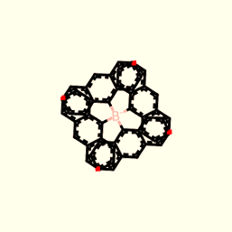 c1ccc2c([B-](c3c4ccccc4cc4ccccc34)(c3c4ccccc4cc4ccccc34)c3c4ccccc4cc4ccccc34)c3ccccc3cc2c1